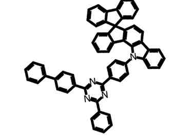 c1ccc(-c2ccc(-c3nc(-c4ccccc4)nc(-c4ccc(-n5c6ccccc6c6ccc7c(c65)-c5ccccc5C75c6ccccc6-c6ccccc65)cc4)n3)cc2)cc1